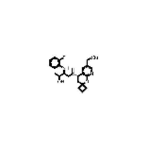 CC(O)C(CN[C@H]1CC2(CCC2)Oc2ncc(CC(C)(C)C)cc21)Nc1ccccc1F